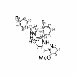 COc1cccnc1C[C@H](CO)NC(=O)c1cccc(F)c1-c1cc(-c2ccc(F)cc2)[nH]n1